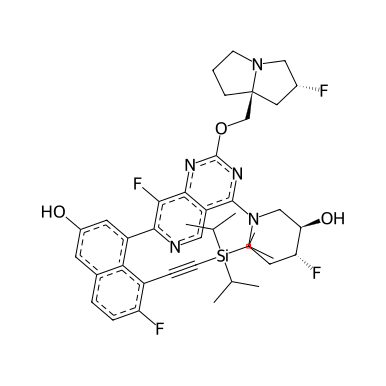 CC(C)[Si](C#Cc1c(F)ccc2cc(O)cc(-c3ncc4c(N5CC[C@@H](F)[C@H](O)C5)nc(OC[C@@]56CCCN5C[C@H](F)C6)nc4c3F)c12)(C(C)C)C(C)C